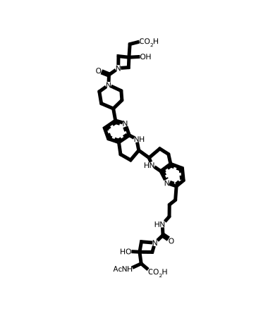 CC(=O)NC(C(=O)O)C1(O)CN(C(=O)NCCCc2ccc3c(n2)NC(C2CCc4ccc(C5CCN(C(=O)N6CC(O)(CC(=O)O)C6)CC5)nc4N2)CC3)C1